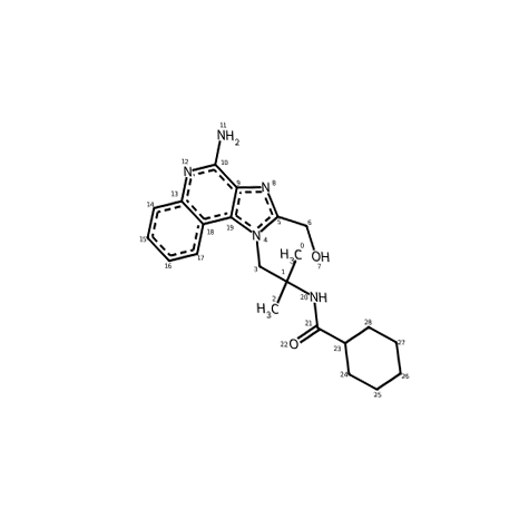 CC(C)(Cn1c(CO)nc2c(N)nc3ccccc3c21)NC(=O)C1CCCCC1